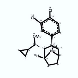 COC(C1CC1)[C@@H]1[C@@H](c2ccc(Cl)c(Cl)c2)CC2CC[C@H]1N2C